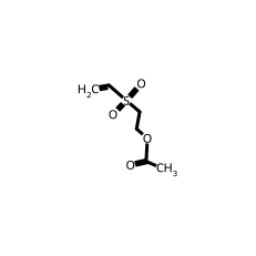 C=CS(=O)(=O)CCOC(C)=O